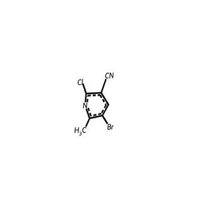 Cc1nc(Cl)c(C#N)cc1Br